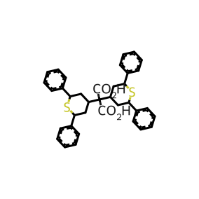 O=C(O)C(C(=O)O)(C1CC(c2ccccc2)SC(c2ccccc2)C1)C1CC(c2ccccc2)SC(c2ccccc2)C1